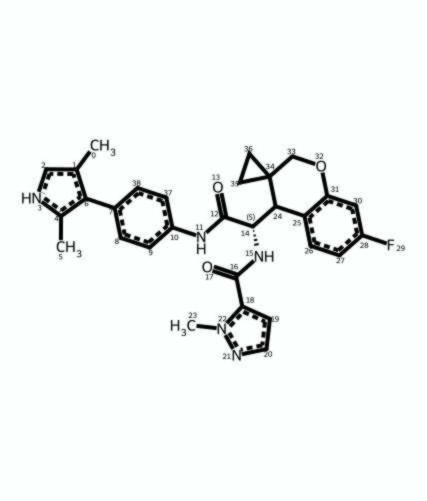 Cc1c[nH]c(C)c1-c1ccc(NC(=O)[C@@H](NC(=O)c2ccnn2C)C2c3ccc(F)cc3OCC23CC3)cc1